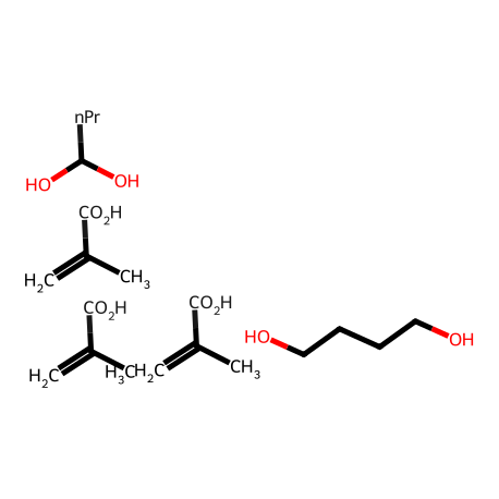 C=C(C)C(=O)O.C=C(C)C(=O)O.C=C(C)C(=O)O.CCCC(O)O.OCCCCO